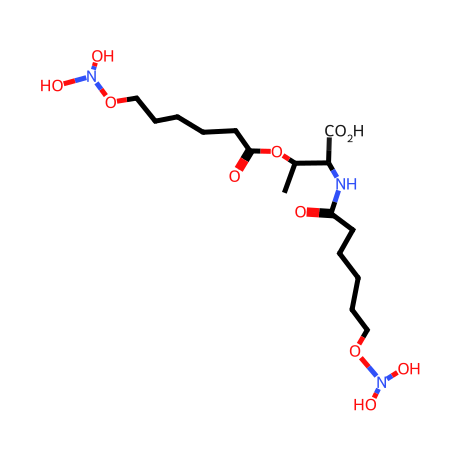 CC(OC(=O)CCCCCON(O)O)C(NC(=O)CCCCCON(O)O)C(=O)O